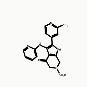 Nc1cc(-c2[nH]c3c(c2Nc2ccccn2)C(=O)CN(C(=O)O)C3)ccn1